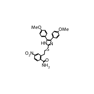 COc1ccc(-c2nc(SCCc3cc([N+](=O)[O-])ccc3C(N)=O)[nH]c2-c2ccc(OC)cc2)cc1